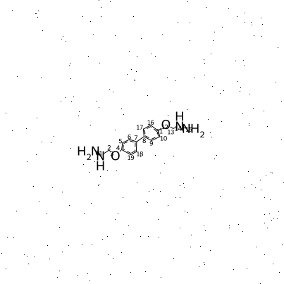 NNCOc1ccc(-c2ccc(OCNN)cc2)cc1